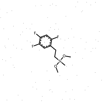 CO[Si](C)(CCc1cc(F)c(F)cc1F)OC